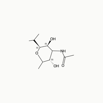 CC(=O)NC1[C@H](O)C(C)O[C@@H](C(C)C)[C@H]1O